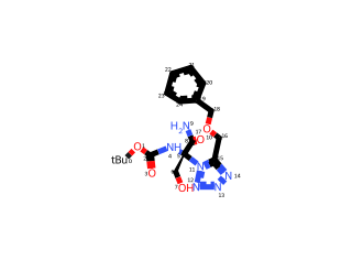 CC(C)(C)OC(=O)N[C@](CO)(C(N)=O)n1nnnc1COCc1ccccc1